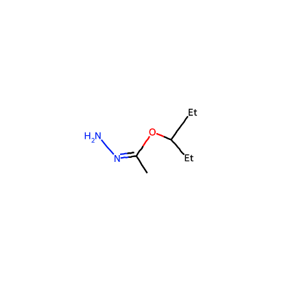 CCC(CC)O/C(C)=N\N